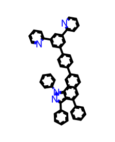 c1ccc(-c2cc3ccc(-c4ccc(-c5cc(-c6ccccn6)cc(-c6ccccn6)c5)cc4)cc3c3c2c(-c2ccccc2)nn3-c2ccccc2)cc1